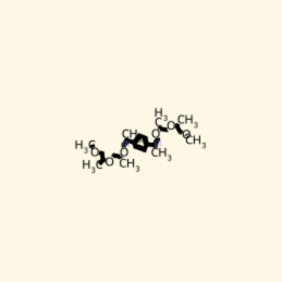 COCC(C)OCC(C)O/C=C(/C)c1ccc(/C(C)=C\OC(C)COC(C)COC)cc1